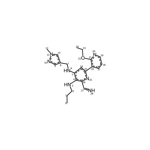 CCCNc1c(NCc2cnn(C)c2)cc(-c2cccnc2OCC)nc1C=N